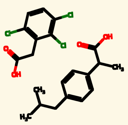 CC(C)Cc1ccc(C(C)C(=O)O)cc1.O=C(O)Cc1c(Cl)ccc(Cl)c1Cl